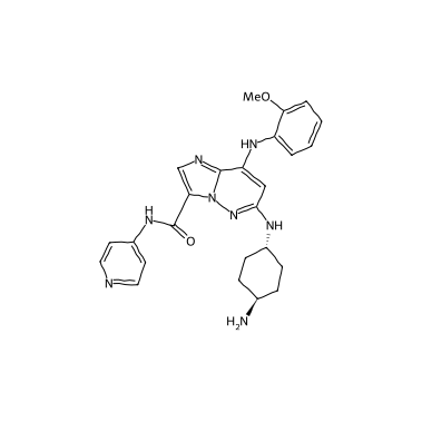 COc1ccccc1Nc1cc(N[C@H]2CC[C@H](N)CC2)nn2c(C(=O)Nc3ccncc3)cnc12